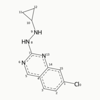 Clc1ccc2cnc(NNC3CC3)nc2c1